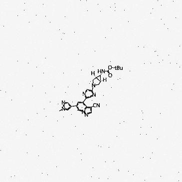 Cn1cc(-c2cc(-c3cnc(N4C[C@@H]5[C@H](C4)[C@H]5NC(=O)OC(C)(C)C)cn3)c3c(C#N)cnn3c2)cn1